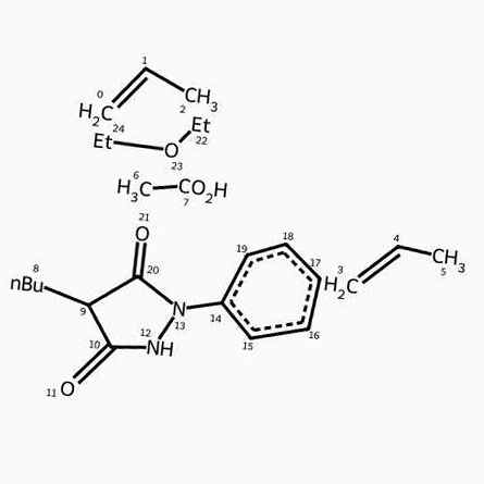 C=CC.C=CC.CC(=O)O.CCCCC1C(=O)NN(c2ccccc2)C1=O.CCOCC